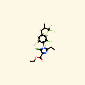 CCOC(=O)c1nc(CC)n(-c2c(F)cc(CC(C)C(F)(F)F)cc2F)c1Cl